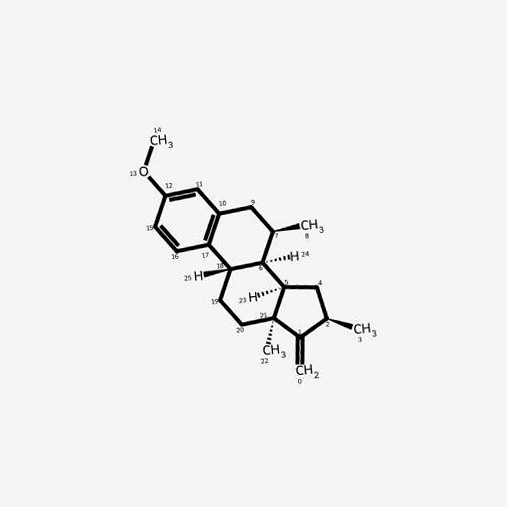 C=C1[C@H](C)C[C@@H]2[C@@H]3[C@H](C)Cc4cc(OC)ccc4[C@H]3CC[C@]12C